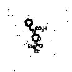 CCN(CC)C(=O)[C@@H]1CC[C@@H](N(Cc2ccccc2)C(=O)O)CO1